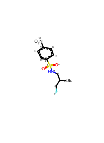 CC(C)(C)C(CF)CNS(=O)(=O)c1ccc([N+](=O)[O-])cc1